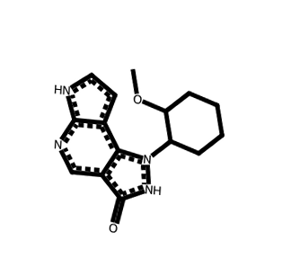 COC1CCCCC1n1[nH]c(=O)c2cnc3[nH]ccc3c21